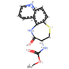 CC(C)(C)OC(=O)N[C@H]1CSc2ccc3ncccc3c2NC1=O